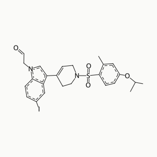 Cc1cc(OC(C)C)ccc1S(=O)(=O)N1CC=C(c2cn(CC=O)c3ccc(I)cc23)CC1